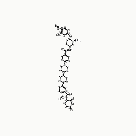 C[C@H]1C[C@@H](NC(=O)c2ccc(N3CCN(C4CCN(c5ccc6c(c5)C(=O)N(C5CCC(=O)NC5=O)C6=O)CC4)CC3)cc2)CC[C@@H]1Oc1ccc(C#N)c(Cl)c1